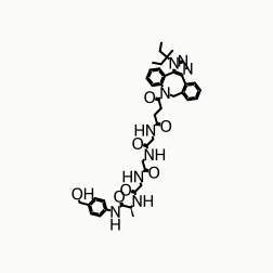 CCC(C)(CC)n1nnc2c1-c1ccccc1N(C(=O)CCC(=O)NCC(=O)NCC(=O)NCC(=O)N[C@@H](C)C(=O)Nc1ccc(CO)cc1)Cc1ccccc1-2